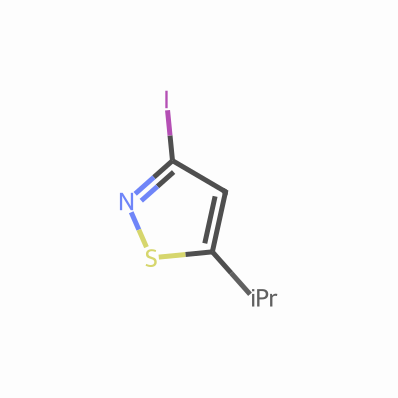 CC(C)c1cc(I)ns1